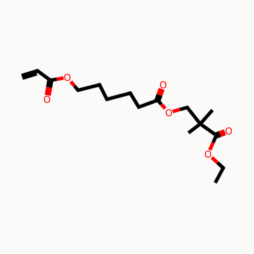 C=CC(=O)OCCCCCC(=O)OCC(C)(C)C(=O)OCC